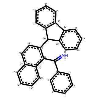 N=C(c1ccccc1)c1c(C2c3ccccc3-c3ccccc32)ccc2ccccc12